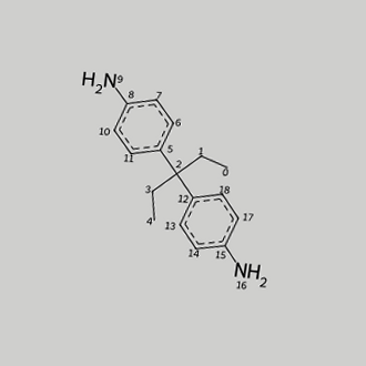 CCC(CC)(c1ccc(N)cc1)c1ccc(N)cc1